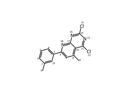 Cc1cccc(-c2cc(C)c3c(Cl)nc(Cl)nc3n2)c1